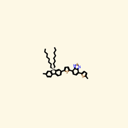 CCCCCCCC[Si]1(CCCCCCCC)c2cc(C)ccc2-c2ccc(-c3ccc(-c4ccc(-c5ccc(C)s5)c5nsnc45)s3)cc21